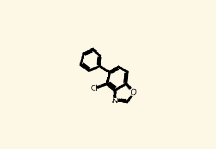 Clc1c(-c2ccccc2)ccc2o[c]nc12